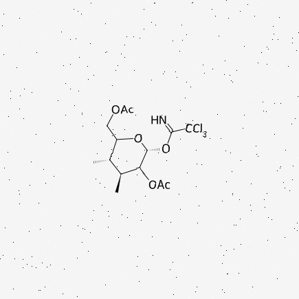 CC(=O)OCC1O[C@H](OC(=N)C(Cl)(Cl)Cl)C(OC(C)=O)[C@@H](C)[C@@H]1C